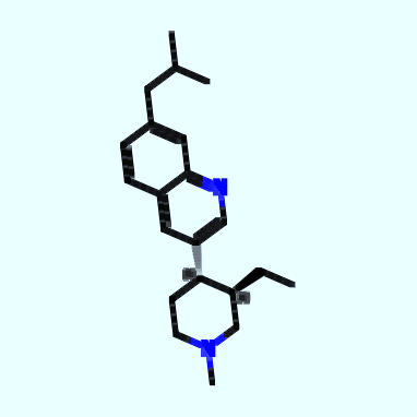 CC[C@H]1CN(C)CC[C@@H]1c1cnc2cc(CC(C)C)ccc2c1